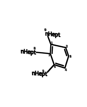 CCCCCCCc1cccc(CCCCCCC)c1CCCCCCC